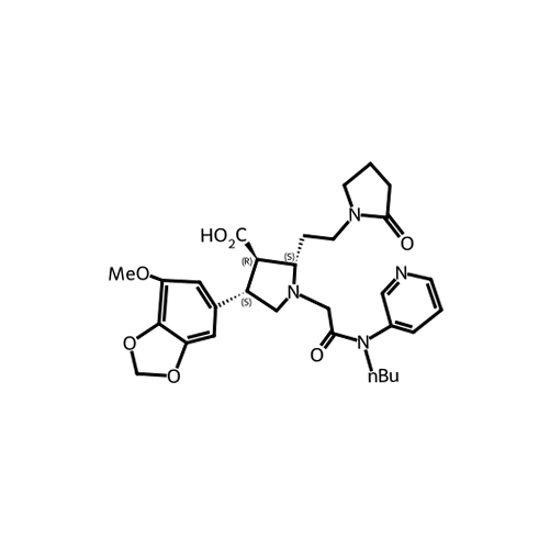 CCCCN(C(=O)CN1C[C@H](c2cc(OC)c3c(c2)OCO3)[C@@H](C(=O)O)[C@@H]1CCN1CCCC1=O)c1cccnc1